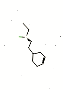 CC[Si](Cl)=CCC1CC=CCC1